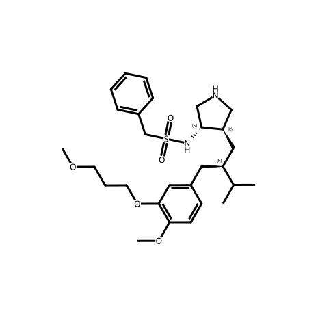 COCCCOc1cc(C[C@@H](C[C@@H]2CNC[C@H]2NS(=O)(=O)Cc2ccccc2)C(C)C)ccc1OC